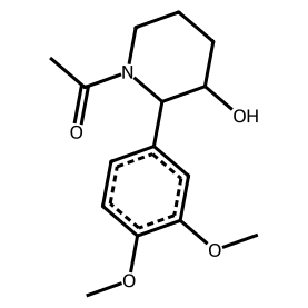 COc1ccc(C2C(O)CCCN2C(C)=O)cc1OC